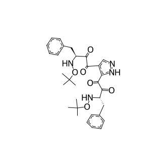 CC(C)(C)ON[C@@H](Cc1ccccc1)C(=O)C(=O)c1cn[nH]c1C(=O)C(=O)[C@H](Cc1ccccc1)NOC(C)(C)C